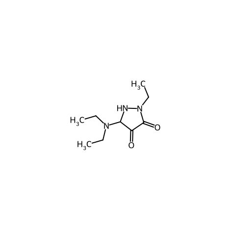 CCN1NC(N(CC)CC)C(=O)C1=O